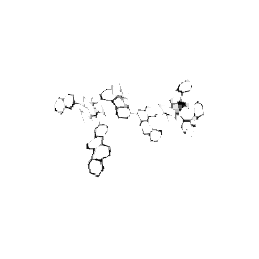 c1ccc(-c2nc(-c3ccc4cc(-c5cccc6c5oc5nccc(-c7nc(-c8ccc9ccccc9c8)nc(-c8ccc9c(ccc%10c%11ccccc%11ccc9%10)c8)n7)c56)c5ccc6ccccc6c5c4c3)nc(-c3ccnc4oc5ccccc5c34)n2)cc1